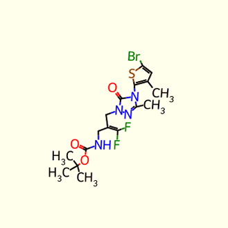 Cc1cc(Br)sc1-n1c(C)nn(CC(CNC(=O)OC(C)(C)C)=C(F)F)c1=O